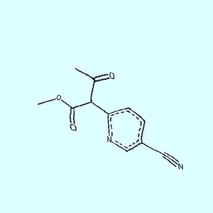 COC(=O)C(C(C)=O)c1ccc(C#N)cn1